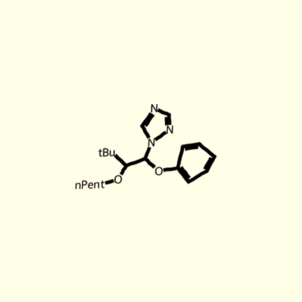 CCCCCOC(C(Oc1ccccc1)n1cncn1)C(C)(C)C